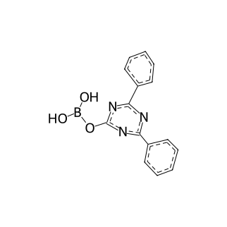 OB(O)Oc1nc(-c2ccccc2)nc(-c2ccccc2)n1